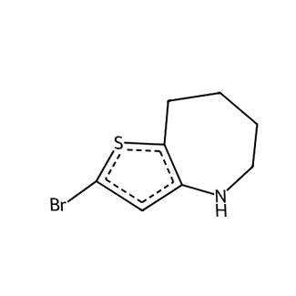 Brc1cc2c(s1)CCCCN2